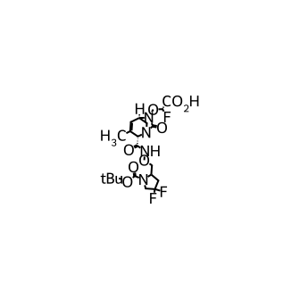 CC1=C[C@@H]2CN(C(=O)N2O[C@@H](F)C(=O)O)[C@@H]1C(=O)NOCC1CC(F)(F)CN1C(=O)OC(C)(C)C